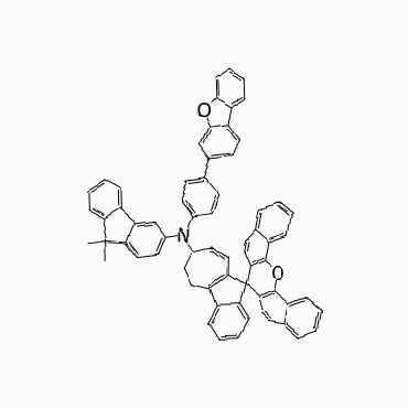 CC1(C)c2ccccc2-c2cc(N(c3ccc(-c4ccc5c(c4)oc4ccccc45)cc3)C3C=CC4=C(CC3)c3ccccc3C43c4ccc5ccccc5c4Oc4c3ccc3ccccc43)ccc21